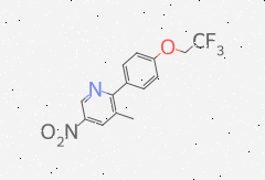 Cc1cc([N+](=O)[O-])cnc1-c1ccc(OCC(F)(F)F)cc1